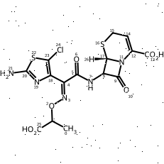 CC(ON=C(C(=O)NC1C(=O)N2C(C(=O)O)=CCS[C@@H]12)c1nc(N)sc1Cl)C(=O)O